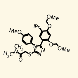 COCOc1cc(OCOC)c(C(C)C)cc1-c1nnc(SCC(=O)N(C)C)n1-c1ccc(OC)cc1